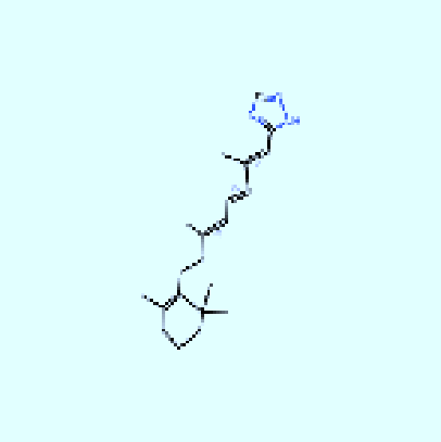 CC1=C(CC/C(C)=C/C=C/C(C)=C/c2ncn[nH]2)C(C)(C)CCC1